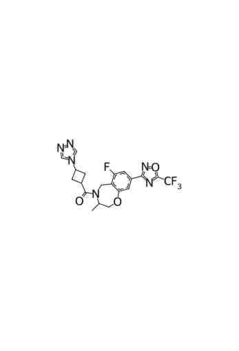 CC1COc2cc(-c3noc(C(F)(F)F)n3)cc(F)c2CN1C(=O)C1CC(n2cnnc2)C1